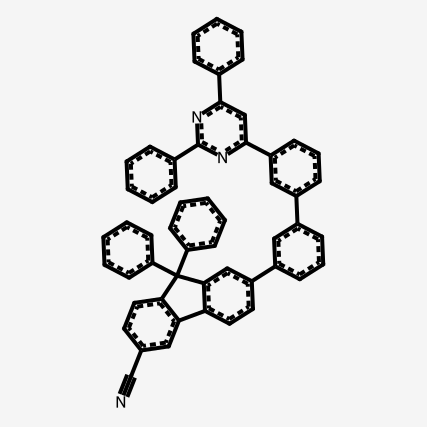 N#Cc1ccc2c(c1)-c1ccc(-c3cccc(-c4cccc(-c5cc(-c6ccccc6)nc(-c6ccccc6)n5)c4)c3)cc1C2(c1ccccc1)c1ccccc1